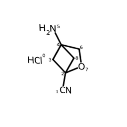 Cl.N#CC12CC(N)(CO1)C2